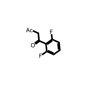 CC(=O)CC(=O)c1c(F)cccc1F